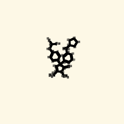 CN1C(=O)C(c2ccc(OC(F)F)cc2)(c2cccc(NC3CCCC3)c2)N=C1N